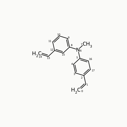 C=Cc1ccc(N(C)c2cccc(C=C)c2)cc1